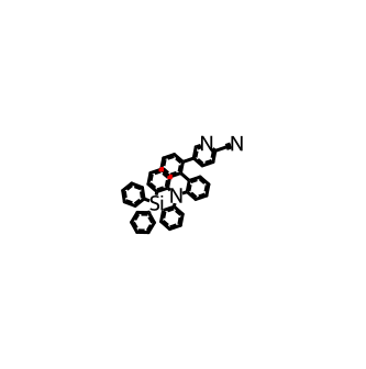 N#Cc1ccc(-c2ccccc2-c2ccccc2N2c3ccccc3[Si](c3ccccc3)(c3ccccc3)c3ccccc32)cn1